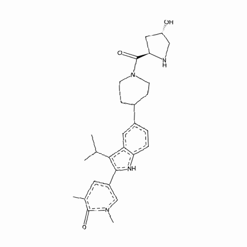 Cc1cc(-c2[nH]c3ccc(C4CCN(C(=O)[C@H]5C[C@H](O)CN5)CC4)cc3c2C(C)C)cn(C)c1=O